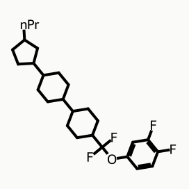 CCCC1CCC(C2CCC(C3CCC(C(F)(F)Oc4ccc(F)c(F)c4)CC3)CC2)C1